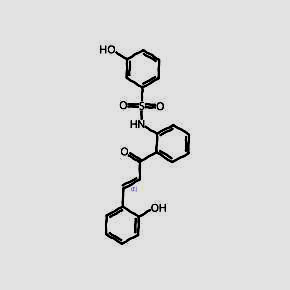 O=C(/C=C/c1ccccc1O)c1ccccc1NS(=O)(=O)c1cccc(O)c1